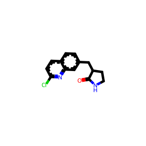 O=C1NCC[C]1Cc1ccc2ccc(Cl)nc2c1